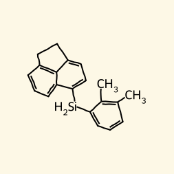 Cc1cccc([SiH2]c2ccc3c4c(cccc24)CC3)c1C